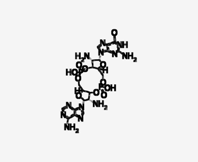 Nc1nc2c(ncn2[C@@H]2O[C@@H]3COP(=O)(O)OC4[C@@H](COP(=O)(O)OC3[C@@H]2N)O[C@@H](n2cnc3c(N)ncnc32)[C@H]4N)c(=O)[nH]1